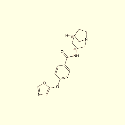 O=C(N[C@@H]1C[C@H]2CCN(C2)C1)c1ccc(Oc2cnco2)cc1